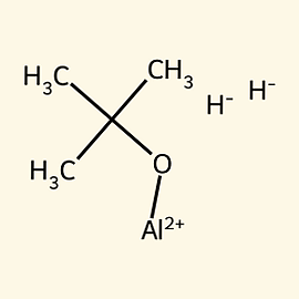 CC(C)(C)[O][Al+2].[H-].[H-]